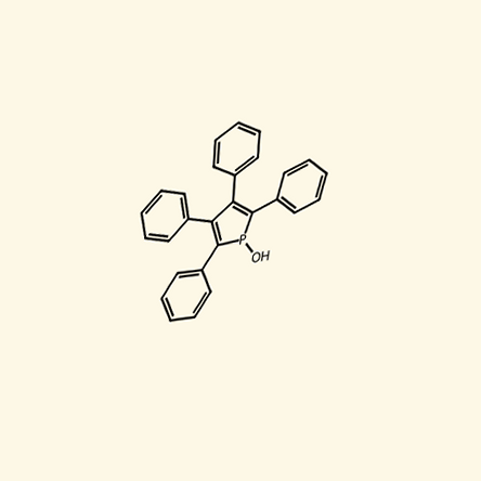 Op1c(-c2ccccc2)c(-c2ccccc2)c(-c2ccccc2)c1-c1ccccc1